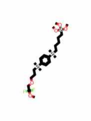 COC(F)(F)COCCC[Si](C)(C)c1ccc([Si](C)(C)CCCCC[Si](OC)(OC)OC)cc1